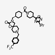 CC(C)c1noc(C2CCN(C(=O)[C@H]3CC[C@H](CN4CC5(CCN(Cc6ccc(C(F)(F)F)cc6)CC5)OC4=O)CC3)CC2)n1